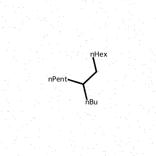 CCCCCCCC(CCCC)CCCCC